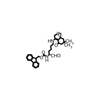 CC(C)CC(NCCCC[C@@H](C=O)NC(=O)OCC1c2ccccc2-c2ccccc21)=C1C(=O)CC(C)(C)CC1=O